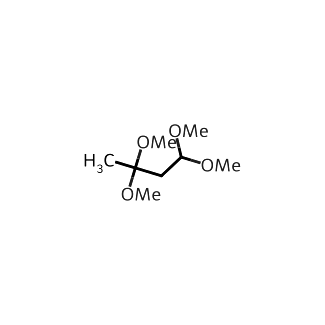 COC(CC(C)(OC)OC)OC